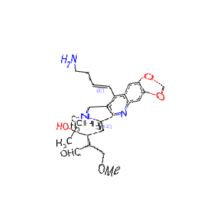 COCC(C=O)C(/C=C1/c2nc3cc4c(cc3c(/C=C/CCN)c2CN1C)OCO4)C(C)(C)O